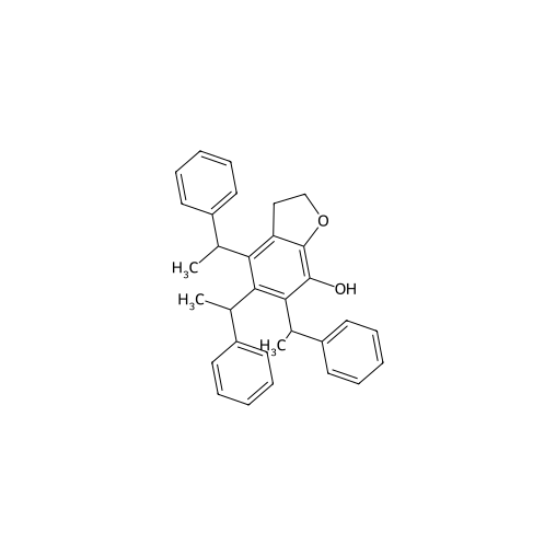 CC(c1ccccc1)c1c(O)c2c(c(C(C)c3ccccc3)c1C(C)c1ccccc1)CCO2